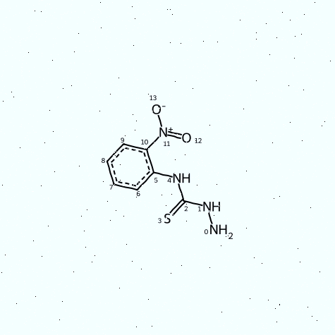 NNC(=S)Nc1ccccc1[N+](=O)[O-]